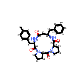 Cc1ccc(CC2NC(=O)CC(Cc3ccccc3)NC(=O)C3CCCN3C(=O)C3CCCN3C2=O)cc1